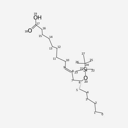 CCCCCC[C@H](CC=CCCCCCCCC(=O)O)O[Si](C)(C)C(C)(C)C